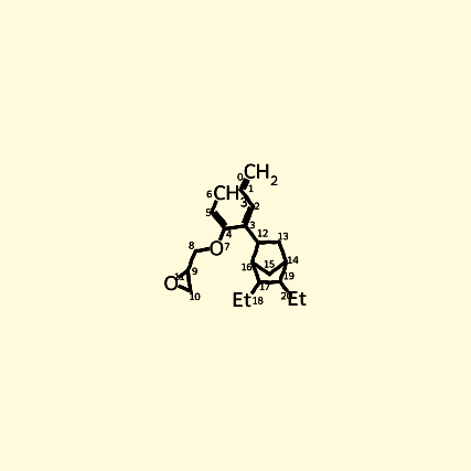 C=C/C=C(\C(=C/C)OCC1CO1)C1CC2CC1C(CC)C2CC